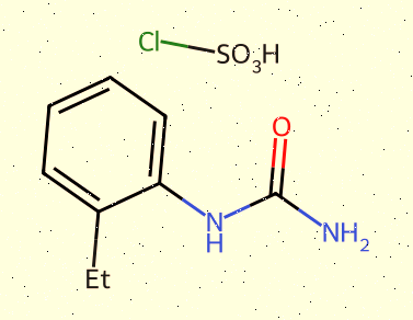 CCc1ccccc1NC(N)=O.O=S(=O)(O)Cl